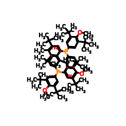 COc1c(C(C)(C)C)cc(P(c2cc(C(C)(C)C)c(C)c(C(C)(C)C)c2)c2cccc(CO)c2-c2c(CO)cccc2P(c2cc(C(C)(C)C)c(OC)c(C(C)(C)C)c2)c2cc(C(C)(C)C)c(OC)c(C(C)(C)C)c2)cc1C(C)(C)C